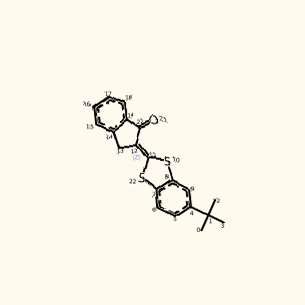 CC(C)(C)c1ccc2c(c1)S/C(=C1/Cc3ccccc3C1=O)S2